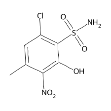 Cc1cc(Cl)c(S(N)(=O)=O)c(O)c1[N+](=O)[O-]